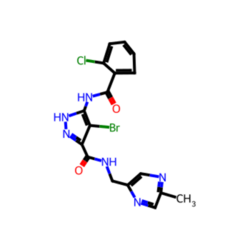 Cc1cnc(CNC(=O)c2n[nH]c(NC(=O)c3ccccc3Cl)c2Br)cn1